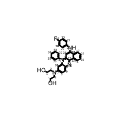 OCCN(CCO)c1ccc2nc3c4ccccc4c(Nc4ccc(F)cc4)cc3[n+](-c3ccccc3)c2c1